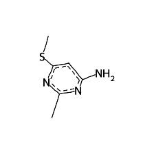 CSc1cc(N)nc(C)n1